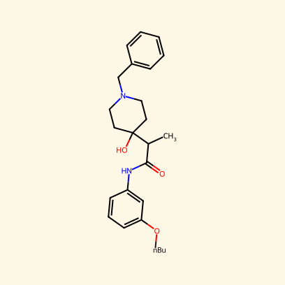 CCCCOc1cccc(NC(=O)C(C)C2(O)CCN(Cc3ccccc3)CC2)c1